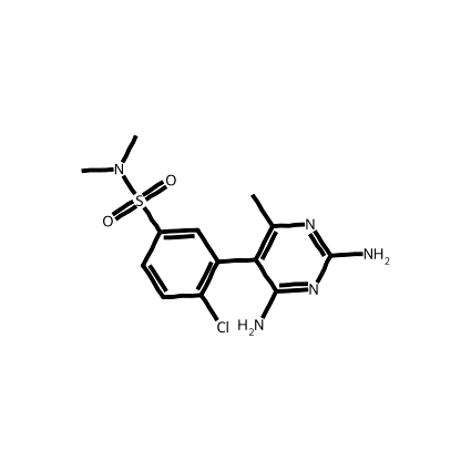 Cc1nc(N)nc(N)c1-c1cc(S(=O)(=O)N(C)C)ccc1Cl